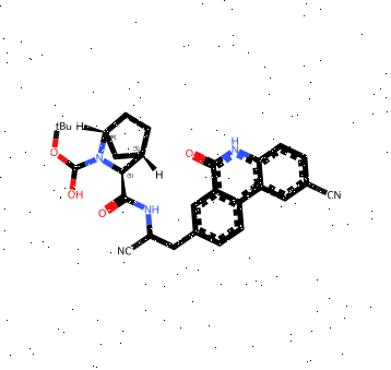 CC(C)(C)OC(O)N1[C@@H]2CC[C@@H](C2)[C@H]1C(=O)NC(C#N)Cc1ccc2c(c1)c(=O)[nH]c1ccc(C#N)cc12